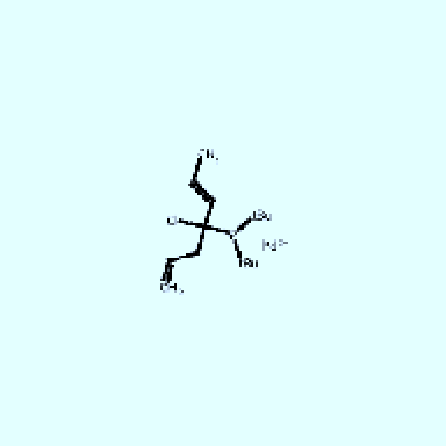 C=CCC(Cl)(C=CC)P(C(C)(C)C)C(C)(C)C.[Pd+2]